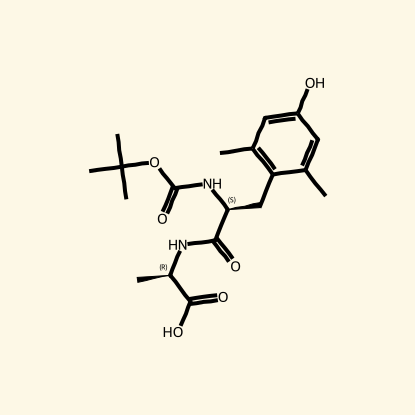 Cc1cc(O)cc(C)c1C[C@H](NC(=O)OC(C)(C)C)C(=O)N[C@H](C)C(=O)O